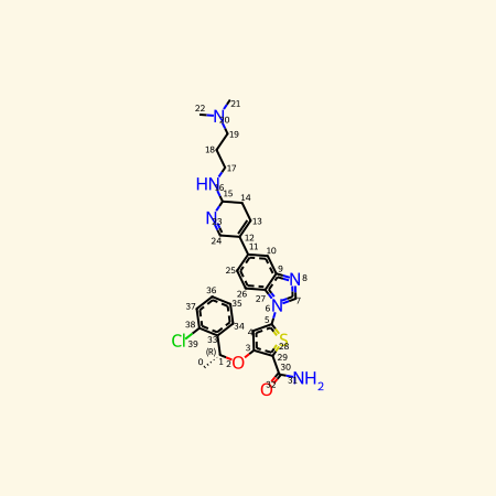 C[C@@H](Oc1cc(-n2cnc3cc(C4=CCC(NCCCN(C)C)N=C4)ccc32)sc1C(N)=O)c1ccccc1Cl